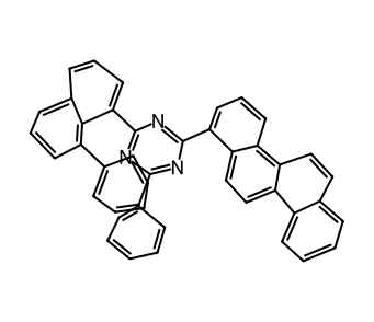 c1ccc(-c2nc(-c3cccc4c3ccc3c5ccccc5ccc43)nc(-c3cccc4cccc(-c5ccccc5)c34)n2)cc1